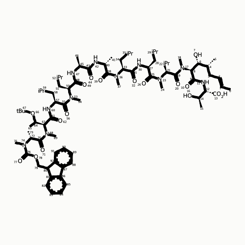 CC=CC[C@@H](C)[C@@H](O)[C@@H](C(=O)N[C@H](C(=O)O)[C@@H](C)O)N(C)C(=O)[C@H](C(C)C)N(C)C(=O)[C@H](CC(C)C)NC(=O)[C@H](CC(C)C)N(C)C(=O)[C@@H](C)NC(=O)[C@H](C)NC(=O)[C@H](CC(C)C)N(C)C(=O)[C@H](CC(C)C)NC(=O)[C@H](C(C)OC(C)(C)C)N(C)C(=O)[C@@H](C)N(C)C(=O)OCC1c2ccccc2-c2ccccc21